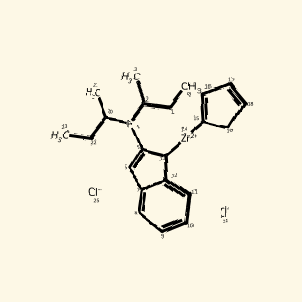 CCC(C)P(C1=Cc2ccccc2[CH]1[Zr+2][C]1=CC=CC1)C(C)CC.[Cl-].[Cl-]